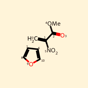 C=C(C(=O)OC)[N+](=O)[O-].c1ccoc1